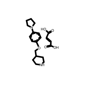 O=C(O)C=CC(=O)O.c1cc(N2CCCC2)ccc1OCC1CCNCC1